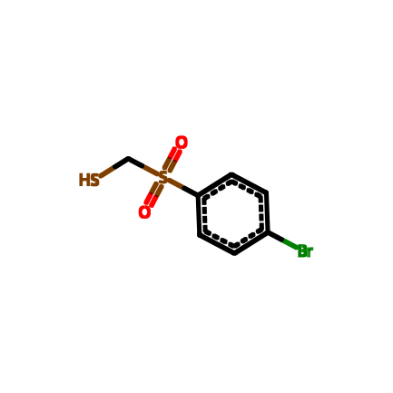 O=S(=O)(CS)c1ccc(Br)cc1